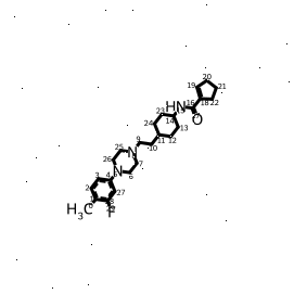 Cc1ccc(N2CCN(CCC3CCC(NC(=O)C4=CCCC4)CC3)CC2)cc1F